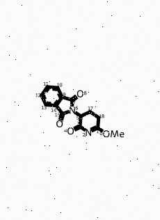 COC1=NC(=O)C(N2C(=O)c3ccccc3C2=O)CC1